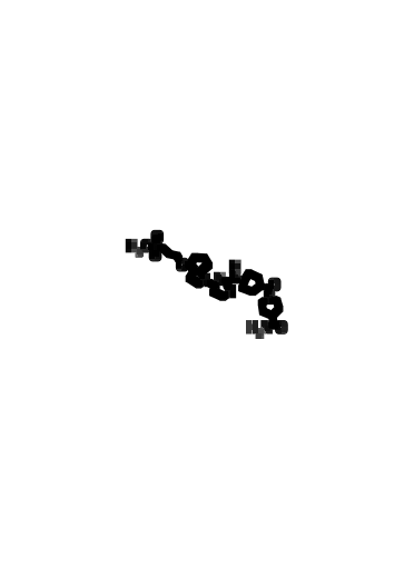 CS(=O)(=O)CCCOc1cccc2c1ccn2-c1ccnc(N[C@H]2CC[C@H](C(=O)N3CCC(C(N)=O)CC3)CC2)n1